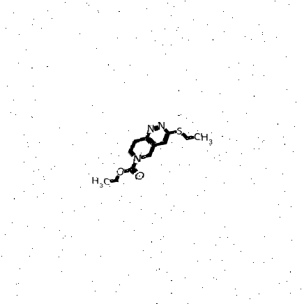 CCOC(=O)N1CCc2nnc(SCC)cc2C1